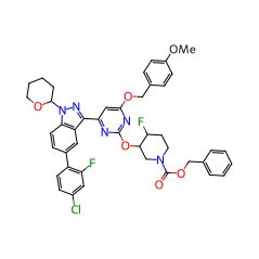 COc1ccc(COc2cc(-c3nn(C4CCCCO4)c4ccc(-c5ccc(Cl)cc5F)cc34)nc(OC3CN(C(=O)OCc4ccccc4)CCC3F)n2)cc1